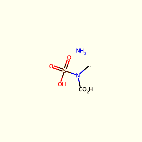 N.[CH2]N(C(=O)O)S(=O)(=O)O